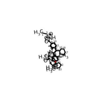 CCCS(=O)(=O)NC(=O)c1ccc2c(C3CCCCC3)c(-c3ccc(OC)cc3C)n(CC(C)(C)C(=O)N3CCC4(CCCN4C)CC3)c2c1